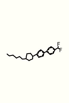 CCCCCCC1CCC(c2ccc(-c3ccc(C(F)F)cc3)cc2)CC1